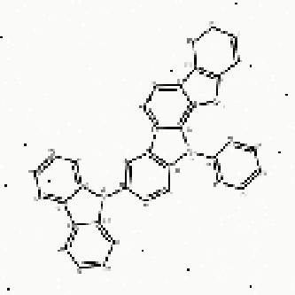 C1=Cc2sc3c(ccc4c5cc(-n6c7ccccc7c7ccccc76)ccc5n(-c5ccccc5)c43)c2CC1